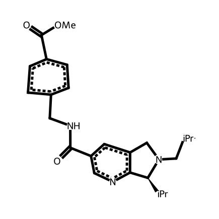 COC(=O)c1ccc(CNC(=O)c2cnc3c(c2)CN(C[C](C)C)[C@H]3C(C)C)cc1